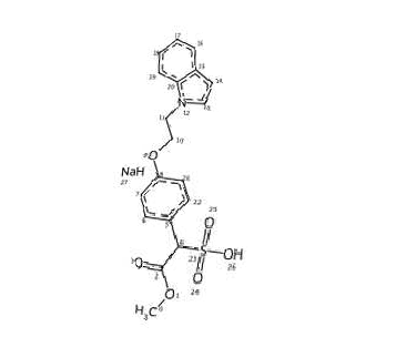 COC(=O)C(c1ccc(OCCn2ccc3ccccc32)cc1)S(=O)(=O)O.[NaH]